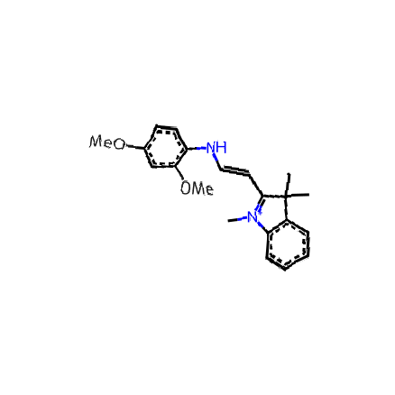 COc1ccc(N/C=C/C2=[N+](C)c3ccccc3C2(C)C)c(OC)c1